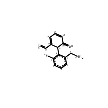 NCc1cccc(F)c1C1C(=S)C=CC=C1C=O